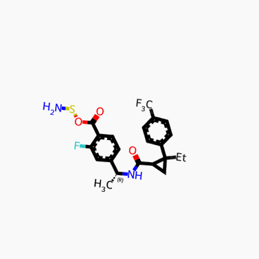 CCC1(c2ccc(C(F)(F)F)cc2)CC1C(=O)N[C@H](C)c1ccc(C(=O)OSN)c(F)c1